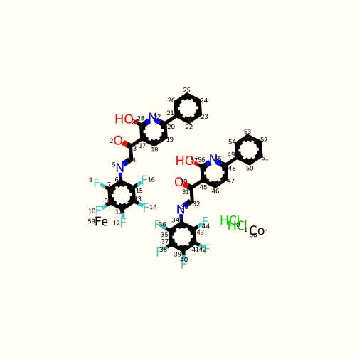 Cl.Cl.O=C(C=Nc1c(F)c(F)c(F)c(F)c1F)c1ccc(-c2ccccc2)nc1O.O=C(C=Nc1c(F)c(F)c(F)c(F)c1F)c1ccc(-c2ccccc2)nc1O.[Co].[Fe]